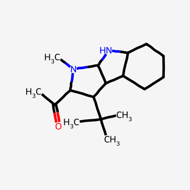 CC(=O)C1C(C(C)(C)C)C2C3CCCCC3NC2N1C